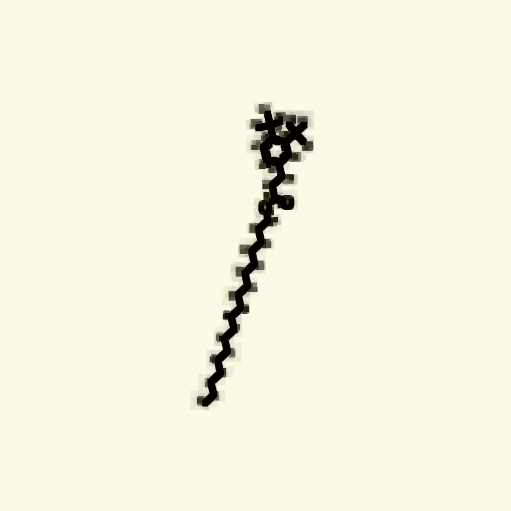 CCCCCCCCCCCCCCCCCCOC(=O)CCc1ccc(C(C)(C)C)c(C(C)(C)C)c1